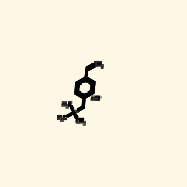 C=Cc1ccc(C[N+](C)(C)C)cc1.[OH-]